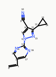 C=Cc1cnc(-n2cc(C#N)c(C3CC3)n2)nc1